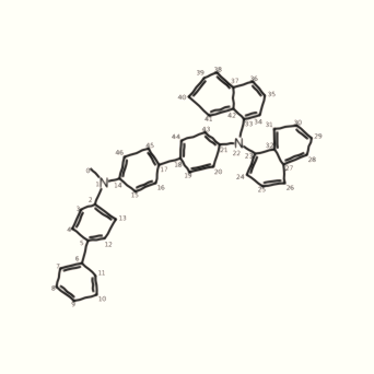 CN(c1ccc(-c2ccccc2)cc1)c1ccc(-c2ccc(N(c3cccc4ccccc34)c3cccc4ccccc34)cc2)cc1